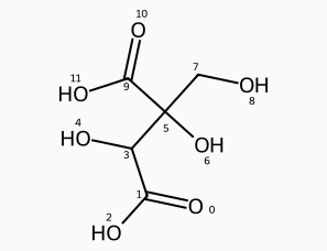 O=C(O)C(O)C(O)(CO)C(=O)O